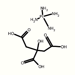 O=C(O)CC(O)(CC(=O)O)C(=O)O.[NH2][Pt]([NH2])([NH2])[NH2]